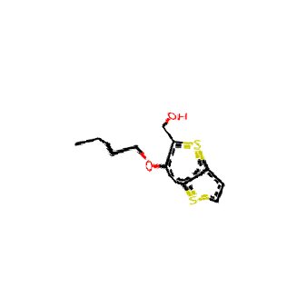 CCCCOc1c(CO)sc2ccsc12